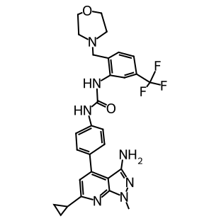 Cn1nc(N)c2c(-c3ccc(NC(=O)Nc4cc(C(F)(F)F)ccc4CN4CCOCC4)cc3)cc(C3CC3)nc21